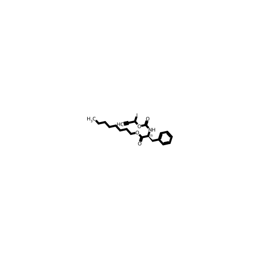 C#CC(I)OC(=O)N[C@@H](Cc1ccccc1)C(=O)OCCCCCCCC